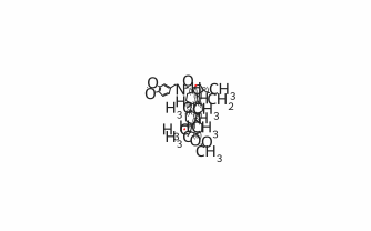 C=C(C)[C@@H]1CC[C@]2(C(=O)NCc3ccc4c(c3)OCO4)CC[C@]3(C)[C@H](CC[C@@H]4[C@@]5(C)CC[C@H](OC(C)=O)C(C)(C)[C@@H]5CC[C@]43C)[C@@H]12